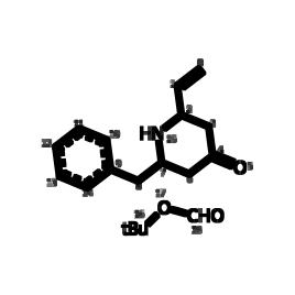 C=CC1CC(=O)CC(Cc2ccccc2)N1.CC(C)(C)OC=O